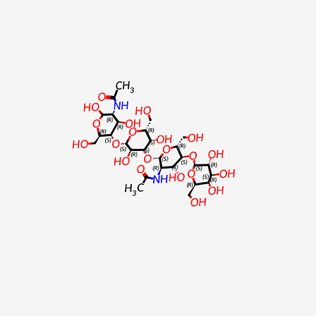 CC(=O)N[C@H]1[C@H](O[C@H]2[C@@H](O)[C@@H](CO)O[C@@H](O[C@H]3[C@H](O)[C@@H](NC(C)=O)C(O)O[C@@H]3CO)[C@@H]2O)O[C@H](CO)[C@@H](O[C@@H]2O[C@H](CO)[C@H](O)[C@H](O)[C@H]2O)[C@@H]1O